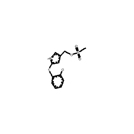 CS(=O)(=O)OCc1c[nH]c(Sc2ccccc2Cl)c1